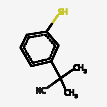 CC(C)(C#N)c1cccc(S)c1